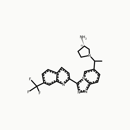 CC(c1ccc2nnc(-c3ccc4ccc(C(F)(F)F)cc4n3)n2c1)N1CC[C@H](N)C1